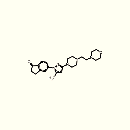 Cc1cc(N2CCN(CCN3CCOCC3)CC2)nn1-c1ccc2c(c1)CCC2=O